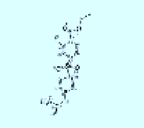 CCOC(=O)c1ccc(S(=O)(=O)c2ccc(C[C@@H](C)N)cc2)cc1F